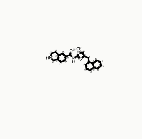 Cl.O=C(Nc1ncc(Cc2cccc3ccccc23)s1)c1ccc2c(c1)CCNC2